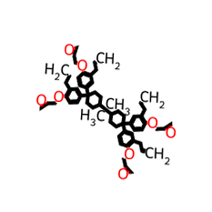 C=CCc1cc(C2(c3ccc(OCC4CO4)c(CC=C)c3)CCC(C(C)(C)C3CCC(c4ccc(OCC5CO5)c(CC=C)c4)(c4ccc(OCC5CO5)c(CC=C)c4)CC3)CC2)ccc1OCC1CO1